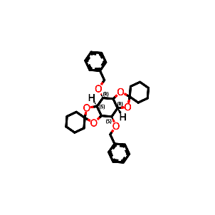 c1ccc(CO[C@@H]2C3OC4(CCCCC4)O[C@@H]3[C@@H](OCc3ccccc3)C3OC4(CCCCC4)O[C@H]32)cc1